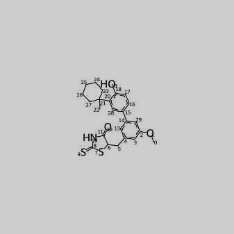 COc1cc(CC2SC(=S)NC2=O)cc(-c2ccc(O)c(C3(C)CCCCC3)c2)c1